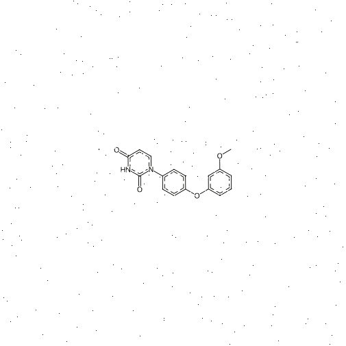 COc1cccc(Oc2ccc(-n3ccc(=O)[nH]c3=O)cc2)c1